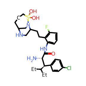 CCC(CC)[C@H](c1ccc(Cl)cc1)[C@H](N)C(=O)Nc1cccc(F)c1CCC1CNC2CCCS(O)(O)N1C2